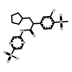 CS(=O)(=O)c1ccc(C(CC2CCCC2)C(=O)Nc2cnc(S(=O)(=O)Cl)cn2)cc1Cl